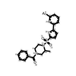 CC(=O)c1cccc(-c2ccc(S(=O)(=O)N3CCN(C(=O)c4ccccc4)CC3C)s2)n1